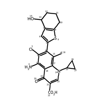 Nc1c(Cl)c(-c2cc3c(s2)CCCC3O)c(F)c2c1c(=O)c(C(=O)O)cn2C1CC1